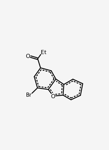 CCC(=O)c1cc(Br)c2oc3ccccc3c2c1